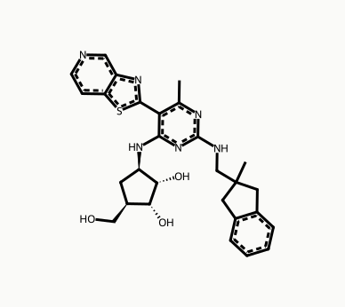 Cc1nc(NCC2(C)Cc3ccccc3C2)nc(N[C@@H]2C[C@H](CO)[C@@H](O)[C@H]2O)c1-c1nc2cnccc2s1